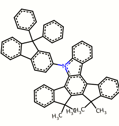 CC1(C)c2ccccc2-c2c1c1c(c3c2c2ccccc2n3-c2ccc3c(c2)C(c2ccccc2)(c2ccccc2)c2ccccc2-3)-c2ccccc2C1(C)C